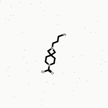 CCC(=O)N1CCC2(CC1)CN(CCCC(C)C)C2